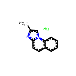 Cl.O=C(O)c1cn2c(ccc3ccccc32)n1